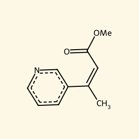 COC(=O)/C=C(/C)c1cccnc1